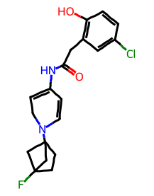 O=C(Cc1cc(Cl)ccc1O)NC1=CCN(C23CCC(F)(C2)C3)C=C1